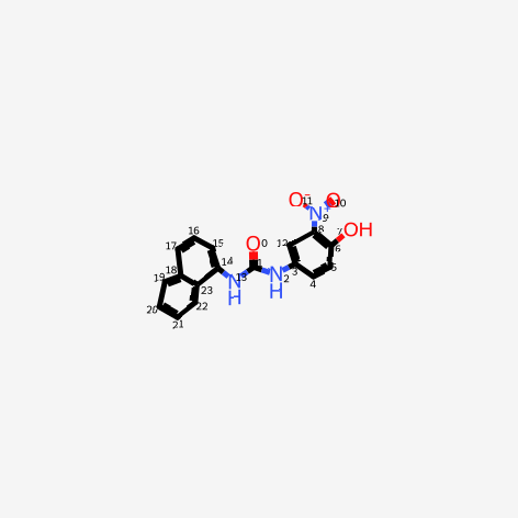 O=C(Nc1ccc(O)c([N+](=O)[O-])c1)Nc1cccc2ccccc12